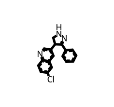 Clc1ccc2ncc(C3CNN=C3c3ccccc3)cc2c1